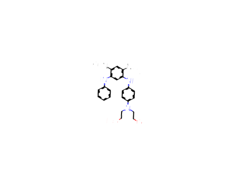 O=[N+]([O-])c1cc([N+](=O)[O-])c(Nc2ccc(N(CCO)CCO)cc2)cc1Nc1ccccc1